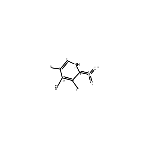 Cc1c[nH]c(=S(=O)=O)c(C)c1Cl